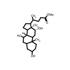 COC(=O)CCC(C)C1CCC2[C@H]3C(O)CC4CC(O)CCC4(C)C3C[C@@H](O)[C@]12C